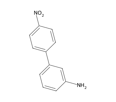 Nc1cccc(-c2ccc([N+](=O)[O-])cc2)c1